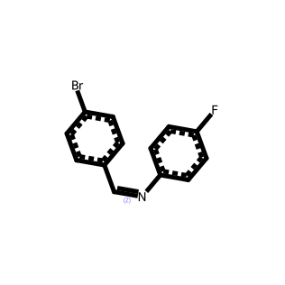 Fc1ccc(/N=C\c2ccc(Br)cc2)cc1